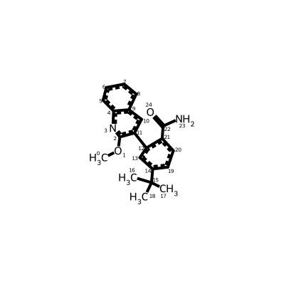 COc1nc2ccccc2cc1-c1cc(C(C)(C)C)ccc1C(N)=O